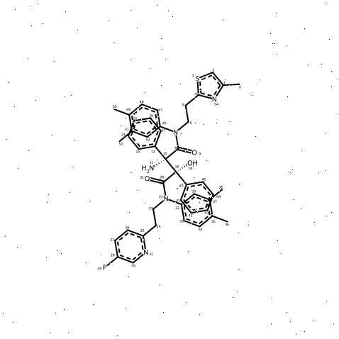 Cc1csc(CCN(C(=O)[C@](N)(c2ccccc2)[C@](O)(C(=O)N(CCc2ccc(F)cn2)c2ccc(C)c(C)c2)c2ccccc2)c2ccc(C)c(C)c2)n1